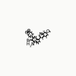 COc1ccc2cc(-c3cnn4c(N)c(Br)c(N5CCS(=O)(=O)CC5)nc34)cnc2c1